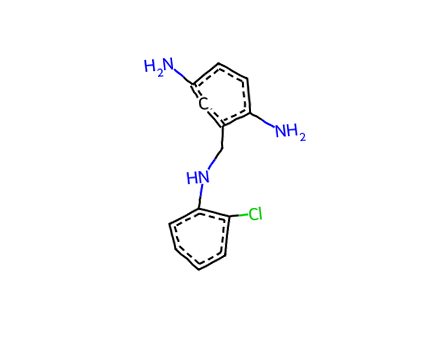 Nc1ccc(N)c(CNc2ccccc2Cl)c1